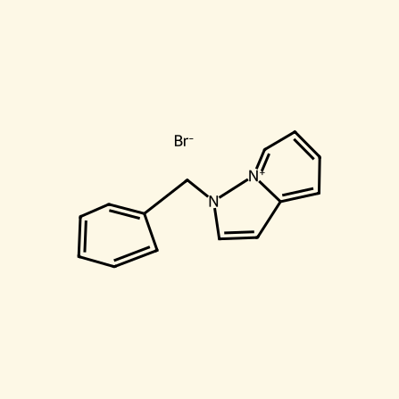 [Br-].c1ccc(Cn2ccc3cccc[n+]32)cc1